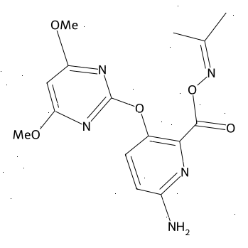 COc1cc(OC)nc(Oc2ccc(N)nc2C(=O)ON=C(C)C)n1